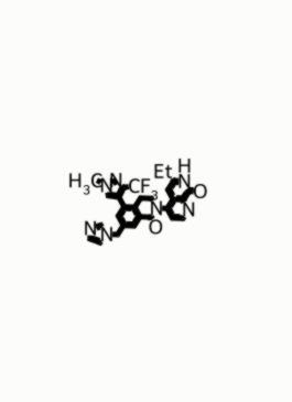 CCc1cc2c(N3CCc4c(cc(Cn5ccnc5)cc4-c4cn(C)nc4C(F)(F)F)C3=O)ccnc2c(=O)[nH]1